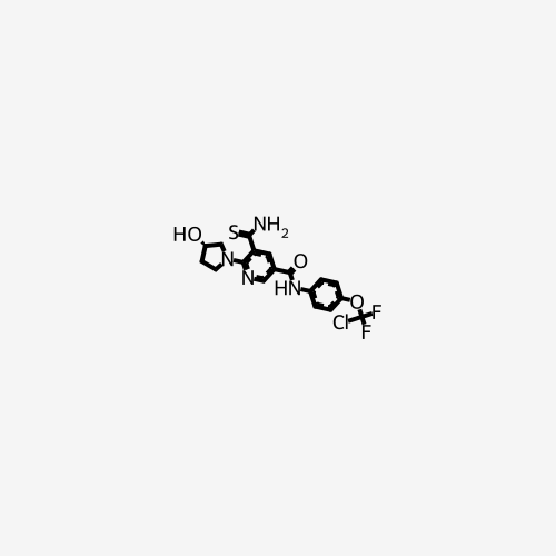 NC(=S)c1cc(C(=O)Nc2ccc(OC(F)(F)Cl)cc2)cnc1N1CC[C@@H](O)C1